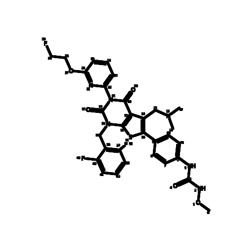 CONC(=O)Nc1ccc(-c2sc3c(c2CN(C)C)c(=O)n(-c2cccc(OCCF)n2)c(=O)n3Cc2c(F)cccc2F)cc1